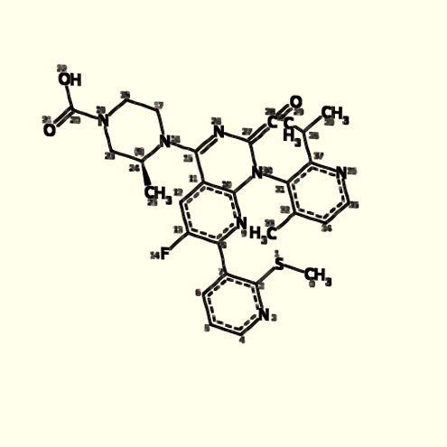 CSc1ncccc1-c1nc2c(cc1F)C(N1CCN(C(=O)O)C[C@@H]1C)=NC(=C=O)N2c1c(C)ccnc1C(C)C